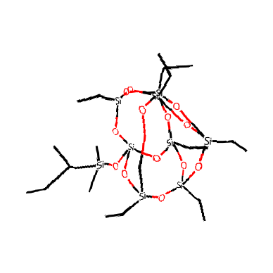 CCC(C)[Si](C)(C)O[Si]12O[Si]3(CC)O[Si]4(CC)O[Si]5(CC)O[Si](CC)(O3)O[Si](CC)(O[Si](CC)(O5)O[Si](CC)(O4)O1)O2